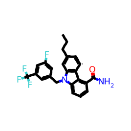 CCCc1c[c]c2c3c(C(N)=O)cccc3n(Cc3cc(F)cc(C(F)(F)F)c3)c2c1